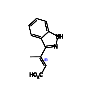 C/C(=C\C(=O)O)c1n[nH]c2ccccc12